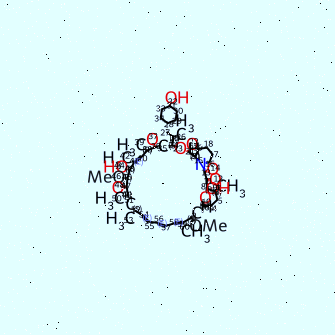 CO[C@H]1C[C@@H]2CC[C@@H](C)[C@@](O)(O2)C(=O)C(=O)N2CCCC[C@H]2C(=O)O[C@H]([C@H](C)C[C@H]2CC[C@H](O)CC2)CC(=O)[C@H](C)/C=C(\C)[C@@H](O)[C@@H](OC)C(=O)[C@H](C)C[C@H](C)/C=C/C=C/C=C/1C